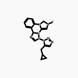 FN1C=C2N(C1)c1ccccc1C1N=CN(n3nncc3CC3CC3)N21